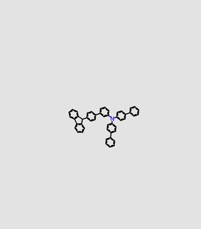 c1ccc(-c2ccc(N(c3ccc(-c4ccccc4)cc3)c3cccc(-c4ccc(C5c6ccccc6-c6ccccc65)cc4)c3)cc2)cc1